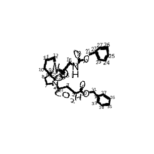 O=C(CC[C@@H](C(=O)O)N1CC[C@]2(CCCN2C(=O)CNC(=O)OCc2ccccc2)C1=O)OCc1ccccc1